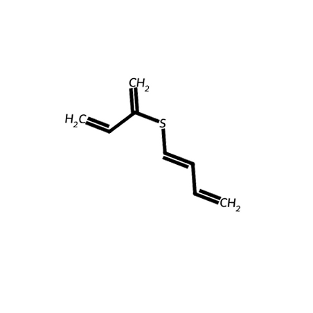 C=CC=CSC(=C)C=C